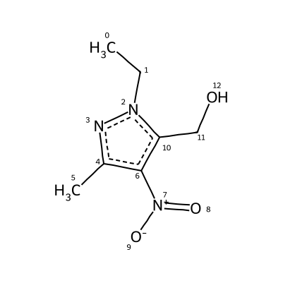 CCn1nc(C)c([N+](=O)[O-])c1CO